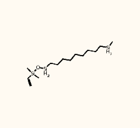 C=C[Si](C)(C)O[SiH2]CCCCCCCCC[SiH2]C